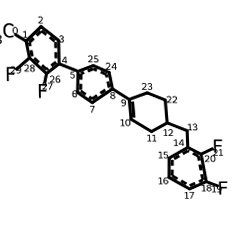 Cc1ccc(-c2ccc(C3=CCC(Cc4cccc(F)c4F)CC3)cc2)c(F)c1F